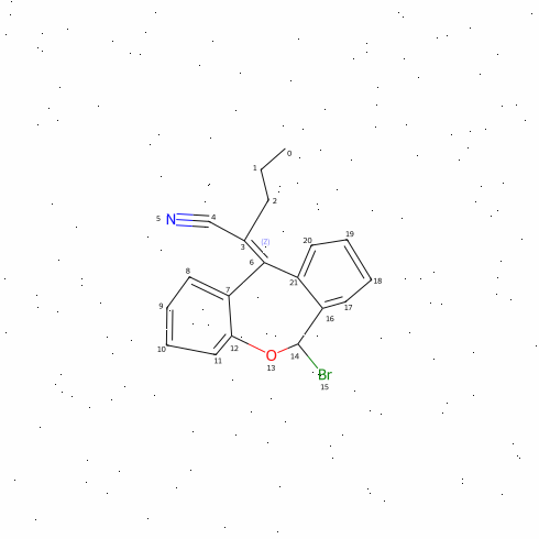 CCC/C(C#N)=C1/c2ccccc2OC(Br)c2ccccc21